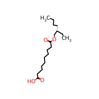 CCCC[C@H](CC)COC(=O)CCCCCCCCC(=O)O